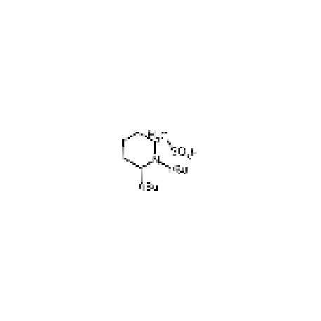 CCCCC1CCCCN1CCCC.CS(=O)(=O)O